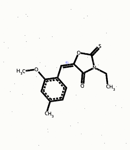 CCN1C(=O)/C(=C\c2ccc(C)cc2OC)OC1=S